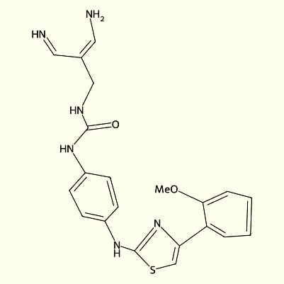 COc1ccccc1-c1csc(Nc2ccc(NC(=O)NC/C(C=N)=C/N)cc2)n1